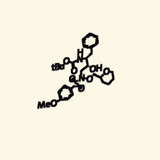 COc1ccc(S(=O)(=O)N(C[C@@H](O)[C@H](Cc2ccccc2)NC(=O)OC(C)(C)C)OCC2CCCCO2)cc1